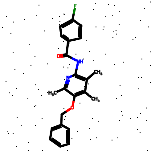 Cc1nc(NC(=O)c2ccc(F)cc2)c(C)c(C)c1OCc1ccccc1